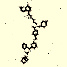 O=C(N[C@@H](c1ccccc1)c1cccc(OCc2ccc(C(=O)N(CCCNC[C@H](O)c3ccc(O)c4[nH]c(=O)ccc34)Cc3ccc(Cl)cc3)cc2)c1)O[C@H]1CN2CCC1CC2